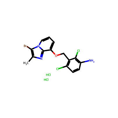 Cc1nc2c(OCc3c(Cl)ccc(N)c3Cl)cccn2c1Br.Cl.Cl